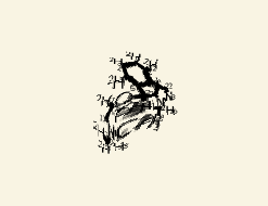 [2H]c1c([2H])c([2H])c(C([2H])(OC([2H])([2H])CN(C)C([2H])([2H])[2H])c2ccnn2C([2H])([2H])[2H])c([2H])c1[2H]